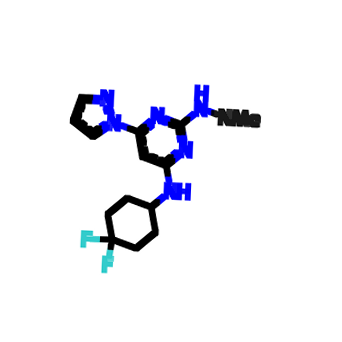 CNNc1nc(NC2CCC(F)(F)CC2)cc(-n2cccn2)n1